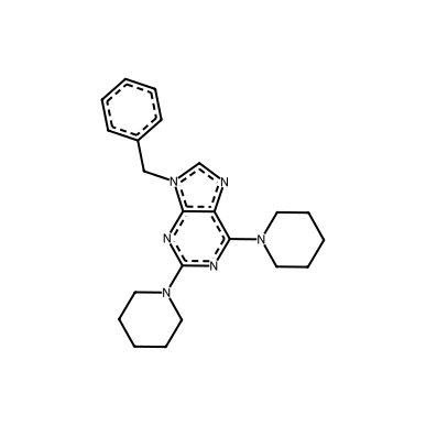 c1ccc(Cn2cnc3c(N4CCCCC4)nc(N4CCCCC4)nc32)cc1